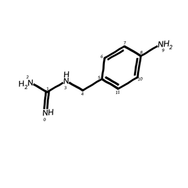 N=C(N)NCc1ccc(N)cc1